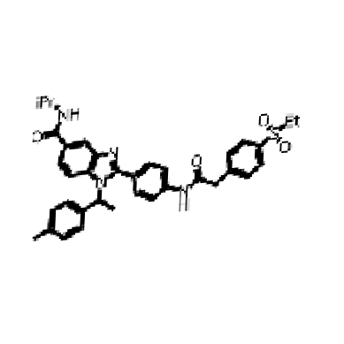 CCS(=O)(=O)c1ccc(CC(=O)Nc2ccc(-c3nc4cc(C(=O)NC(C)C)ccc4n3C(C)c3ccc(C)cc3)cc2)cc1